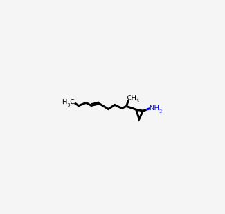 CCCC=CCCCC(C)C1CC1N